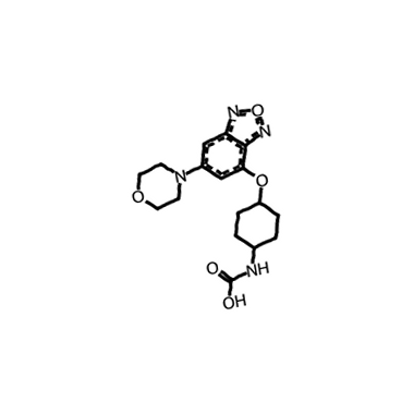 O=C(O)NC1CCC(Oc2cc(N3CCOCC3)cc3nonc23)CC1